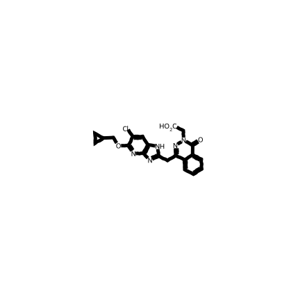 O=C(O)Cn1nc(Cc2nc3nc(OCC4CC4)c(Cl)cc3[nH]2)c2ccccc2c1=O